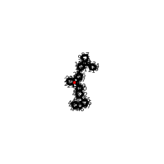 c1ccc(-n2c3ccccc3c3ccc(-c4ccc5c(c4)c4ccccc4n5-c4ccc5cc(-c6cccc7c6-c6ccccc6C7)ccc5c4)cc32)cc1